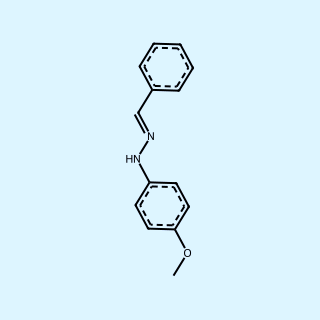 COc1ccc(NN=Cc2ccccc2)cc1